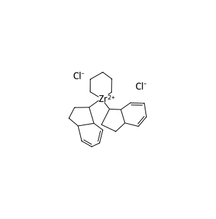 C1=CC2CC[CH]([Zr+2]3([CH]4CCC5C=CC=CC54)[CH2]CCC[CH2]3)C2C=C1.[Cl-].[Cl-]